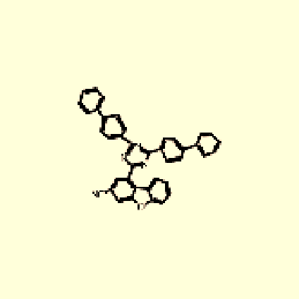 N#Cc1cc(-c2nc(-c3ccc(-c4ccccc4)cc3)nc(-c3ccc(-c4ccccc4)cc3)n2)c2c(c1)oc1ccccc12